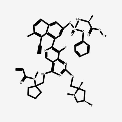 C#Cc1c(F)ccc2cc(OP(=O)(N[C@@H](C)C(=O)OC(C)C)Oc3ccccc3)cc(-c3ncc4c(NCC5(N(C)C(=O)C=C)CCCC5)nc(OC[C@]5(C)C[C@@H](F)CN5C)nc4c3F)c12